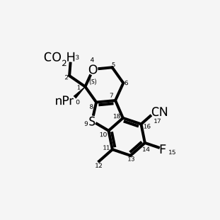 CCC[C@@]1(CC(=O)O)OCCc2c1sc1c(C)cc(F)c(C#N)c21